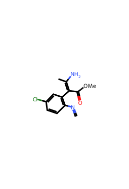 C=Nc1ccc(Cl)cc1/C(C(=O)OC)=C(\C)N